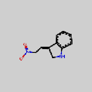 O=[N+]([O-])CC=C1CNc2ccccc21